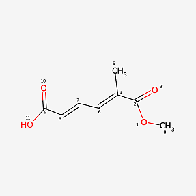 COC(=O)C(C)=CC=CC(=O)O